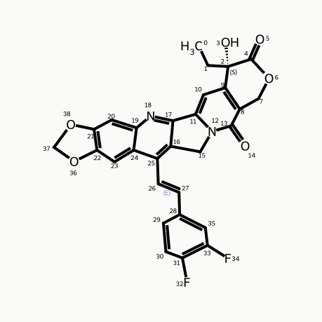 CC[C@@]1(O)C(=O)OCc2c1cc1n(c2=O)Cc2c-1nc1cc3c(cc1c2/C=C/c1ccc(F)c(F)c1)OCO3